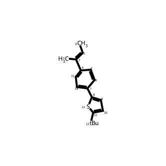 C/C=C(\C)c1ccc(-c2ccc(C(C)(C)C)s2)cc1